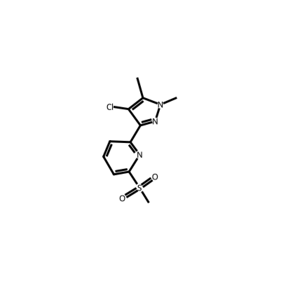 Cc1c(Cl)c(-c2cccc(S(C)(=O)=O)n2)nn1C